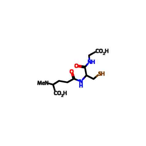 CNC(CCC(=O)NC(CS)C(=O)NCC(=O)O)C(=O)O